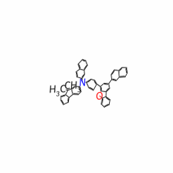 CC1(C)c2ccccc2-c2ccc(N(c3ccc(-c4cc(-c5ccc6ccccc6c5)cc5c4oc4ccccc45)cc3)c3ccc4ccccc4c3)cc21